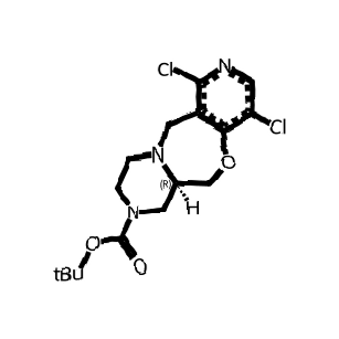 CC(C)(C)OC(=O)N1CCN2Cc3c(Cl)ncc(Cl)c3OC[C@H]2C1